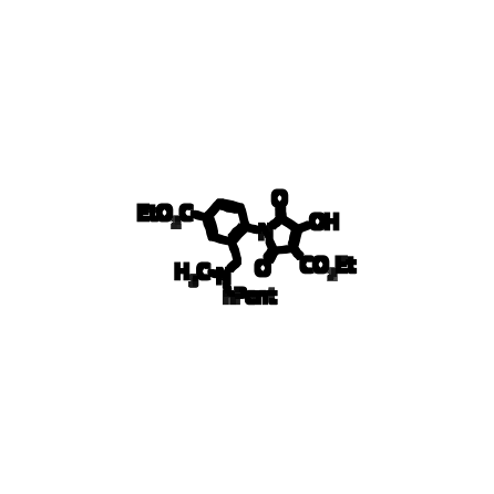 CCCCCN(C)Cc1cc(C(=O)OCC)ccc1N1C(=O)C(O)=C(C(=O)OCC)C1=O